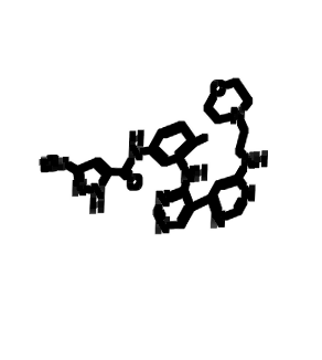 Cc1ccc(NC(=O)c2cc(C(C)(C)C)n[nH]2)cc1Nc1ncncc1-c1cc(NCCN2CCOCC2)ncn1